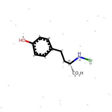 O=C(O)[C@H](CCc1ccc(O)cc1)NBr